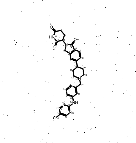 O=C1CCC(N2Cc3cc(C4CCN(Cc5cccc(Nc6ncc(Cl)cn6)c5)CC4)ccc3C2=O)C(=O)N1